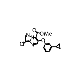 COC(=O)c1c(Oc2cccc(C3CC3)c2)cnc2c(Cl)cnn12